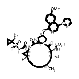 CC[C@@H]1C[C@H](C)CCC=C[C@@H]2C[C@@]2(C(=O)NS(=O)(=O)C2(C)CC2)NC(=O)[C@@H]2C[C@@H](Oc3ncc(-n4cccn4)c4cc(OC)ccc34)CN2C(=O)[C@H]1NC(=O)O